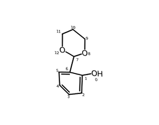 Oc1ccccc1C1OCCCO1